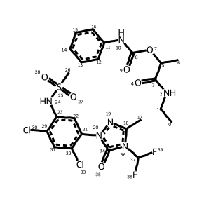 CCNC(=O)C(C)OC(=O)Nc1ccccc1.Cc1nn(-c2cc(NS(C)(=O)=O)c(Cl)cc2Cl)c(=O)n1C(F)F